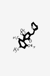 COC1=C(c2c(C)cc(C)cc2C)C(=O)C(Cc2ccccn2)C1